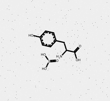 NC(Cc1ccc(O)cc1)C(=O)O.O=S(O)O